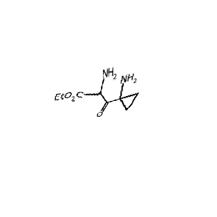 CCOC(=O)C(N)C(=O)C1(N)CC1